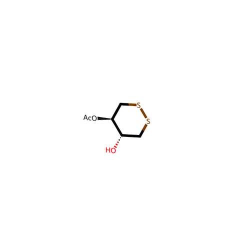 CC(=O)O[C@H]1CSSC[C@@H]1O